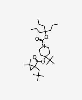 CCCC(CCC)(CCC)OC(=O)N1CCC(OC(=O)C2(CC(C)(C)C)CC2(C)C)(C(C)(C)C)CC1